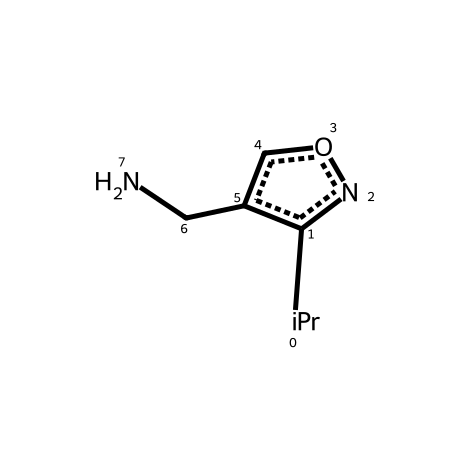 CC(C)c1nocc1CN